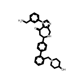 NCc1cccc(-n2cnc3c2C(=O)CC(c2ccc(-c4ccccc4CN4CCC(O)CC4)cc2)NC3)c1